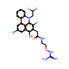 N#Cc1ccc(N(CC(F)F)c2ccccc2-c2cccc(Cl)c2)c(F)c1CC(=O)NCCONC(=N)N